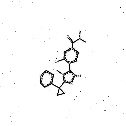 CN(C)C(=O)c1ccc(-c2nnc(C3(c4ccccc4)CC3)n2C)c(Cl)c1.Cl